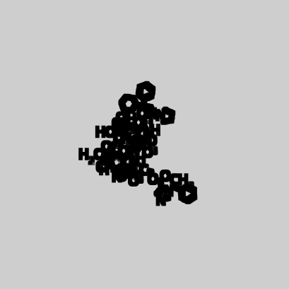 C=C(C)[C@@H]1[C@H]2OC(=O)[C@@H]1[C@]1(O)C[C@H]3O[C@]34C(=O)O[C@H]2[C@]14C.CC(C)(O)[C@@H]1[C@H]2OC(=O)[C@@H]1[C@]1(O)C[C@H]3O[C@]34C(=O)O[C@H]2[C@]14C.CCOC(=O)c1cncn1C(C)c1ccccc1.OC(CCN1CCCC1)(c1ccccc1)C1CCCCC1